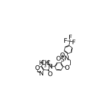 Cc1ocnc1C(=O)N(C)c1ccc2c(c1)S(=O)(=O)N(c1ccc(C(F)(F)F)cc1)CCO2